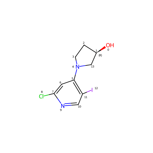 O[C@@H]1CCN(c2cc(Cl)ncc2I)C1